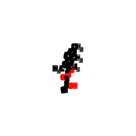 C=C1C=CC2(C)C(=C1)CCC1C2=CCC2(C)C1CC(C)C2C(=O)COC(=O)CCC(O)=C1CCC1